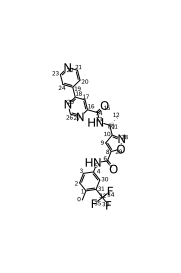 Cc1ccc(NC(=O)c2cc([C@@H](C)NC(=O)c3cc(-c4ccncc4)ncn3)no2)cc1C(F)(F)F